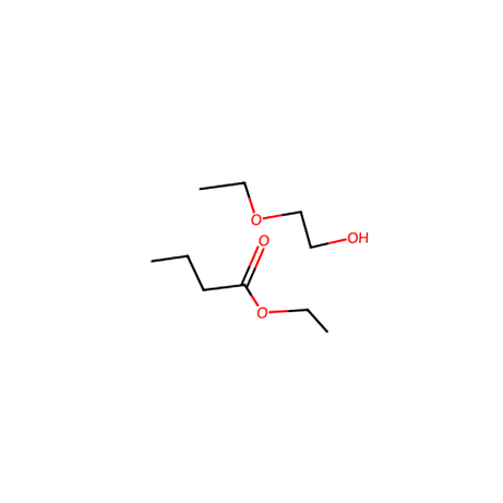 CCCC(=O)OCC.CCOCCO